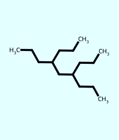 CCCC([CH]C(CCC)CCC)CCC